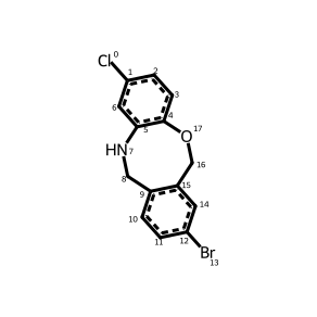 Clc1ccc2c(c1)NCc1ccc(Br)cc1CO2